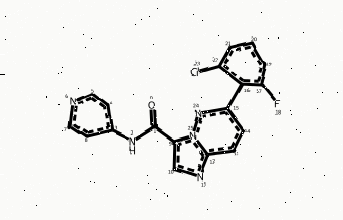 O=C(Nc1ccncc1)c1cnc2ccc(-c3c(F)cccc3Cl)nn12